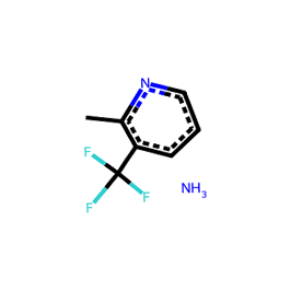 Cc1ncccc1C(F)(F)F.N